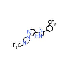 FC(F)(F)CN1CCN(c2cc(-c3nc(-c4cccc(C(F)(F)F)c4)c[nH]3)ccn2)CC1